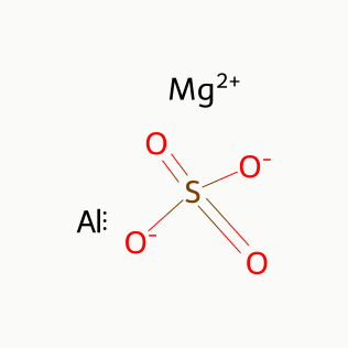 O=S(=O)([O-])[O-].[Al].[Mg+2]